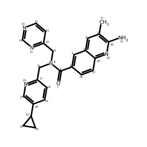 Cc1cc2cc(C(=O)N(Cc3ccncn3)Cc3ccc(C4CC4)cn3)ccc2nc1N